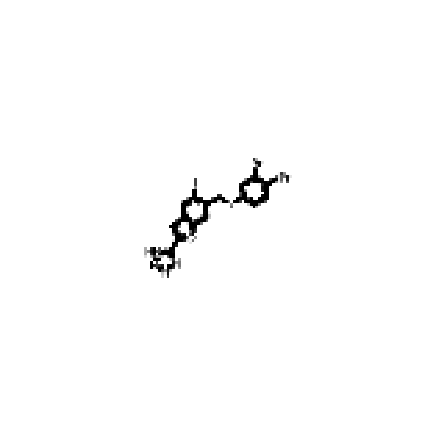 CC(C)c1ccc(NCc2cc3oc(-c4nnn[nH]4)cc3cc2I)cc1Br